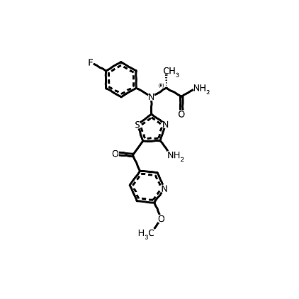 COc1ccc(C(=O)c2sc(N(c3ccc(F)cc3)[C@H](C)C(N)=O)nc2N)cn1